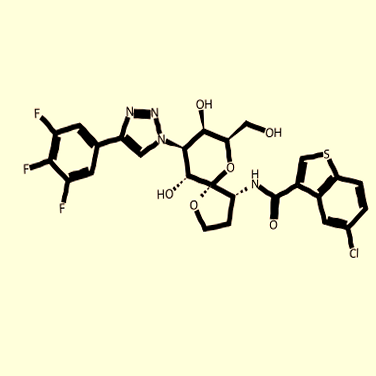 O=C(N[C@@H]1CCO[C@]12O[C@H](CO)[C@H](O)[C@H](n1cc(-c3cc(F)c(F)c(F)c3)nn1)[C@H]2O)c1csc2ccc(Cl)cc12